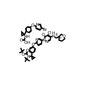 CC(C)(C)OC(=O)N(C(C)(C)C)C1(c2ccc(Oc3ccc(-n4ncc(NC[C@]5(F)CCCOC5)c(Cl)c4=O)cn3)cc2)CC1.O=C(O)NC1(c2ccc(Oc3ccc(Br)cn3)cc2)CC1